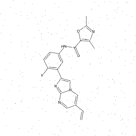 C=Cc1cnc2nc(-c3cc(NC(=O)c4oc(C)nc4C)ccc3F)cn2c1